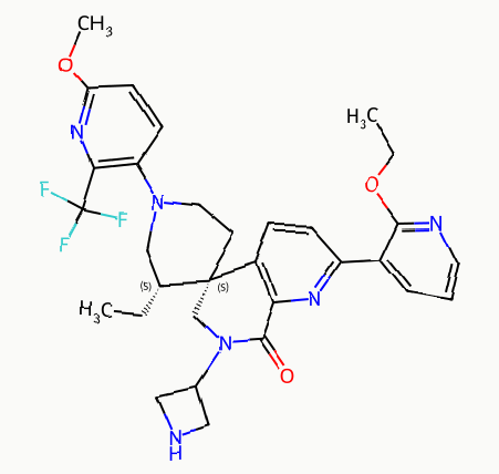 CCOc1ncccc1-c1ccc2c(n1)C(=O)N(C1CNC1)C[C@]21CCN(c2ccc(OC)nc2C(F)(F)F)C[C@H]1CC